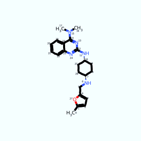 Cc1ccc(CN[C@H]2CC[C@@H](Nc3nc(N(C)C)c4ccccc4n3)CC2)o1